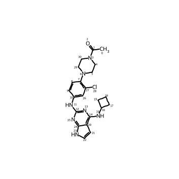 CC(=O)N1CCN(c2ccc(Nc3nc(NC4CCC4)c4cc[nH]c4n3)cc2Cl)CC1